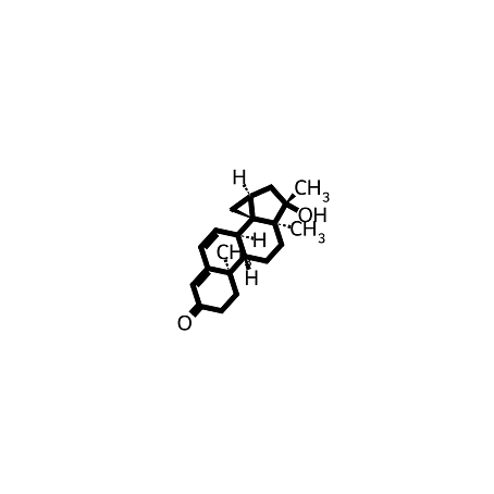 C[C@]12CC[C@H]3[C@@H](C=CC4=CC(=O)CC[C@@]43C)[C@@]13C[C@H]3C[C@]2(C)O